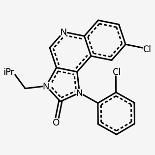 CC(C)Cn1c(=O)n(-c2ccccc2Cl)c2c3cc(Cl)ccc3ncc21